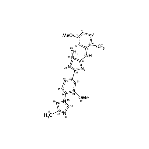 COc1ccc(C(F)(F)F)c(Nc2nc(-c3ccc(-n4cnc(C)c4)c(OC)c3)nn2C)c1